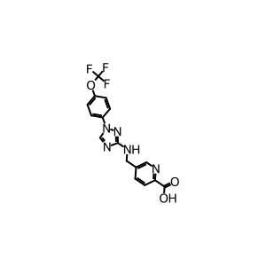 O=C(O)c1ccc(CNc2ncn(-c3ccc(OC(F)(F)F)cc3)n2)cn1